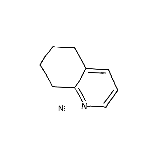 [N].c1cnc2c(c1)CCCC2